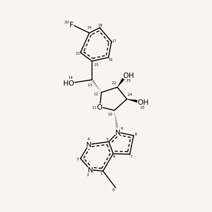 Cc1ncnc2c1ccn2[C@@H]1O[C@H](C(O)c2cccc(F)c2)[C@@H](O)[C@H]1O